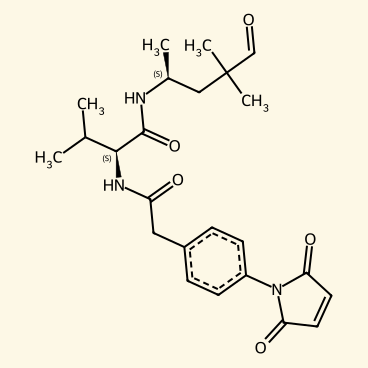 CC(C)[C@H](NC(=O)Cc1ccc(N2C(=O)C=CC2=O)cc1)C(=O)N[C@@H](C)CC(C)(C)C=O